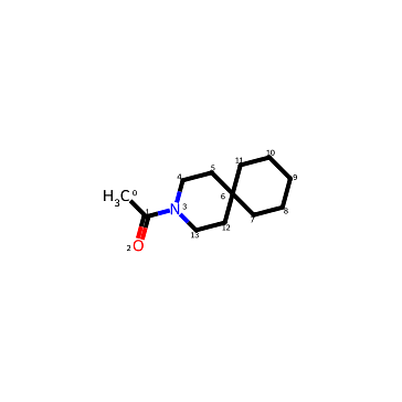 CC(=O)N1CCC2(CCCCC2)CC1